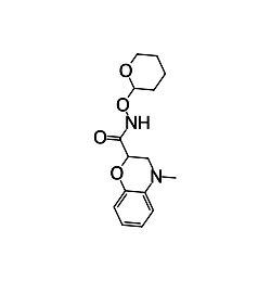 CN1CC(C(=O)NOC2CCCCO2)Oc2ccccc21